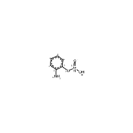 Nc1ccccc1O[AsH](=O)O